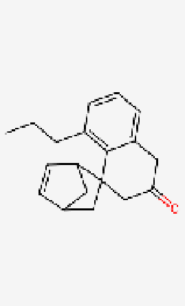 CCCc1cccc2c1C1(CC(=O)C2)CC2C=CC1C2